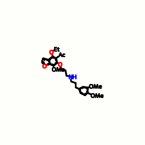 CCOc1c(C(C)=O)c(OCCCNCCCc2ccc(OC)c(OC)c2)c(OC)c2occc12